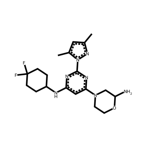 Cc1cc(C)n(-c2nc(NC3CCC(F)(F)CC3)cc(N3CCOC(N)C3)n2)n1